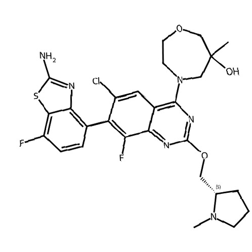 CN1CCC[C@H]1COc1nc(N2CCOCC(C)(O)C2)c2cc(Cl)c(-c3ccc(F)c4sc(N)nc34)c(F)c2n1